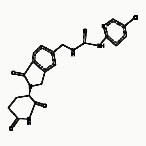 O=C1CCC(N2Cc3cc(CNC(=O)Nc4ccc(Cl)cn4)ccc3C2=O)C(=O)N1